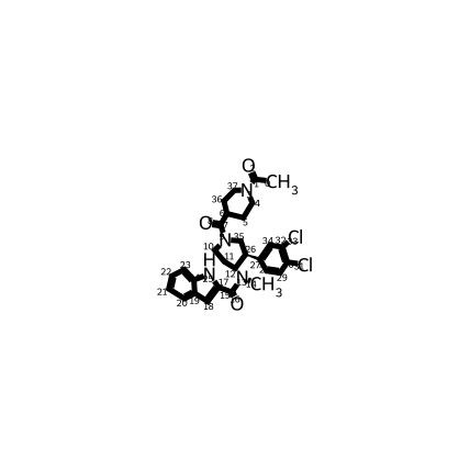 CC(=O)N1CCC(C(=O)N2CC[C@@H](N(C)C(=O)c3cc4ccccc4[nH]3)[C@H](c3ccc(Cl)c(Cl)c3)C2)CC1